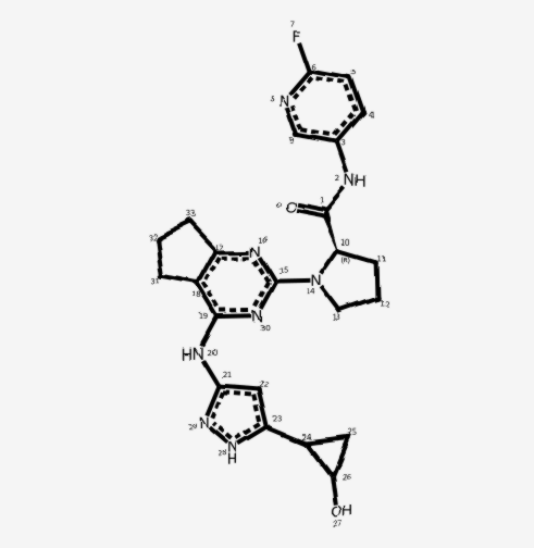 O=C(Nc1ccc(F)nc1)[C@H]1CCCN1c1nc2c(c(Nc3cc(C4CC4O)[nH]n3)n1)CCC2